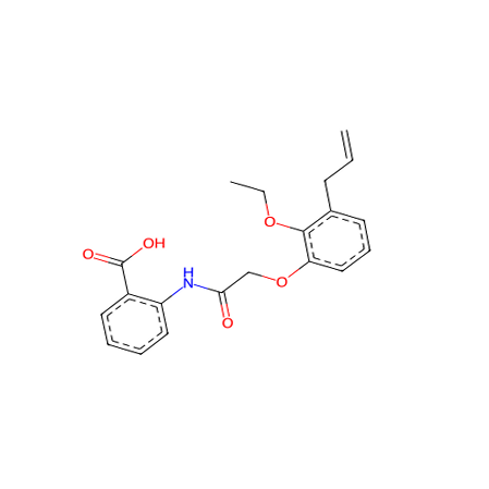 C=CCc1cccc(OCC(=O)Nc2ccccc2C(=O)O)c1OCC